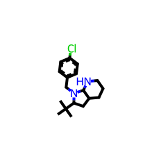 CC(C)(C)C1CC2CCCNC2N1Cc1ccc(Cl)cc1